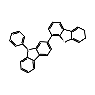 C1=c2oc3c(-c4ccc5c6ccccc6n(-c6ccccc6)c5c4)cccc3c2=CCC1